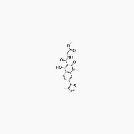 COC(=O)CNC(=O)c1c(O)c2ccc(-c3sccc3C)cc2n(C)c1=O